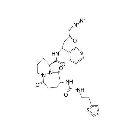 [N-]=[N+]=CC(=O)CC(NC(=O)[C@@H]1CCCN2C(=O)CCC(NC(=O)NCCc3cccs3)C(=O)N12)c1ccccc1